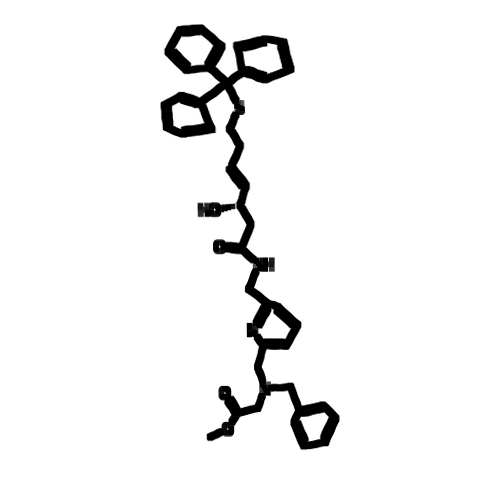 COC(=O)CN(Cc1ccccc1)Cc1cccc(CNC(=O)C[C@H](O)C=CCCSC(c2ccccc2)(c2ccccc2)c2ccccc2)n1